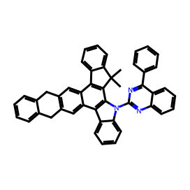 CC1(C)c2ccccc2-c2c1c1c(c3cc4c(cc23)Cc2ccccc2C4)c2ccccc2n1-c1nc(-c2ccccc2)c2ccccc2n1